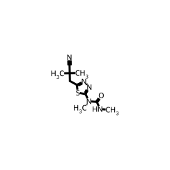 CNC(=O)N(C)c1nnc(CC(C)(C)C#N)s1